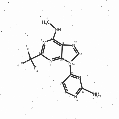 CNc1nc(C(F)(F)F)nc2c1ncn2-c1ccnc(N)n1